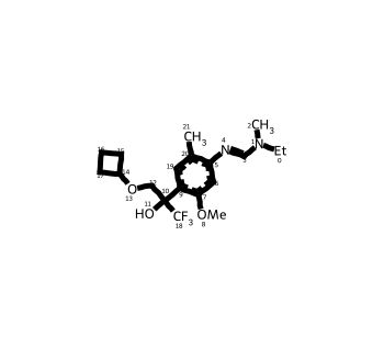 CCN(C)C=Nc1cc(OC)c(C(O)(COC2CCC2)C(F)(F)F)cc1C